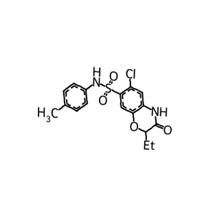 CCC1Oc2cc(S(=O)(=O)Nc3ccc(C)cc3)c(Cl)cc2NC1=O